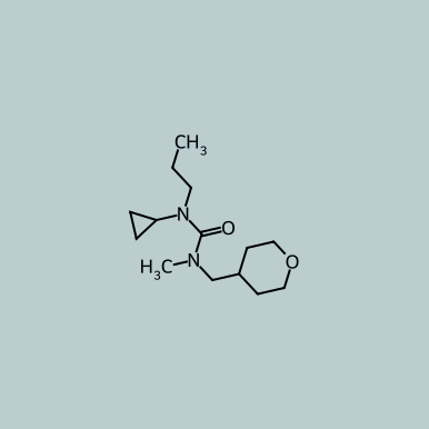 CCCN(C(=O)N(C)CC1CCOCC1)C1CC1